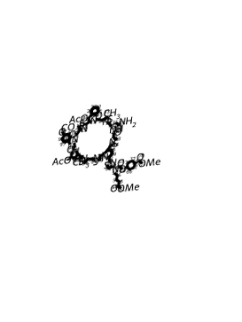 CCOC(=O)Oc1ccc(C[C@@H]2NC(=O)c3csc(n3)[C@H]([C@H](OC(C)=O)c3ccccc3)NC(=O)c3nc(sc3C)[C@H](CC(N)=O)NC(=O)c3csc(n3)-c3ccc(-c4nc(N(CCCCC(=O)OC)C(=O)O[C@H]5CC[C@H](C(=O)OC)CC5)cs4)nc3-c3csc(n3)-c3csc(n3)[C@@H]3[C@@H](C)[C@@H](OC(C)=O)CN3C2=O)cc1